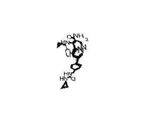 C[C@@H](Nc1c(C(N)=O)cnn2cc(-c3ccc(CNC(=O)NC4CC4)cc3)cc12)C1CC1